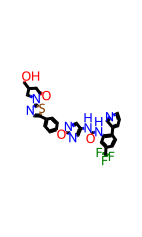 O=C(Nc1cnc(Oc2ccc(-c3cnc(N4CC(CO)CC4=O)s3)cc2)nc1)Nc1cc(C(F)(F)F)ccc1-c1cccnc1